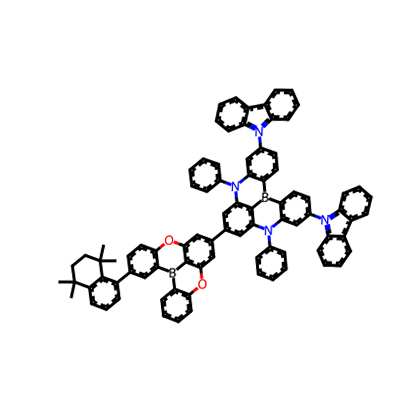 CC1(C)CCC(C)(C)c2c(-c3ccc4c(c3)B3c5ccccc5Oc5cc(-c6cc7c8c(c6)N(c6ccccc6)c6cc(-n9c%10ccccc%10c%10ccccc%109)ccc6B8c6ccc(-n8c9ccccc9c9ccccc98)cc6N7c6ccccc6)cc(c53)O4)cccc21